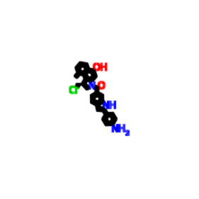 Cc1cccc2c(O)cc3c(c12)[C@H](CCl)CN3C(=O)c1ccc2cc(-c3ccc(N)cc3)[nH]c2c1